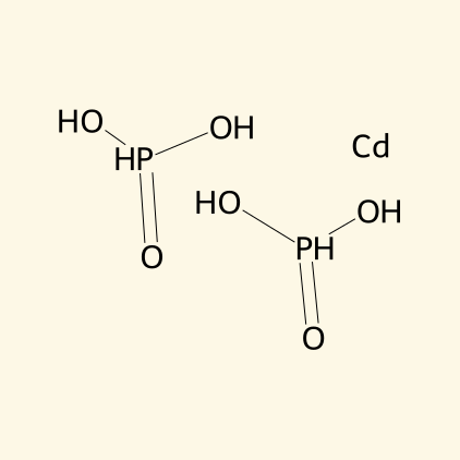 O=[PH](O)O.O=[PH](O)O.[Cd]